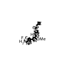 COc1ncc(-c2cc(C(F)(F)F)c3c(N)ncnn23)cc1C(=O)N[C@@H]1CN(C(=O)OCC2CCC2)C[C@@H]1F